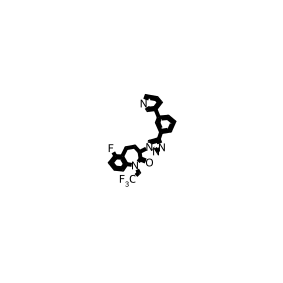 O=C1C(n2cc(-c3cccc(-c4cccnc4)c3)nn2)CCc2c(F)cccc2N1CC(F)(F)F